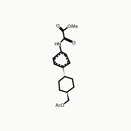 COC(=O)C(=O)Nc1ccc([C@H]2CC[C@H](COC(C)=O)CC2)cc1